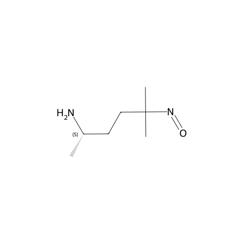 C[C@H](N)CCC(C)(C)N=O